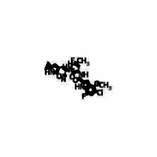 COc1c(Cl)cc(F)c2[nH]c(C(=O)N[C@@H](CC(C)(C)F)C(=O)N[C@H](C#N)C[C@@H]3CC4(CC4)NC3=O)cc12